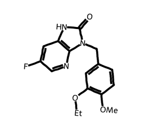 CCOc1cc(Cn2c(=O)[nH]c3cc(F)cnc32)ccc1OC